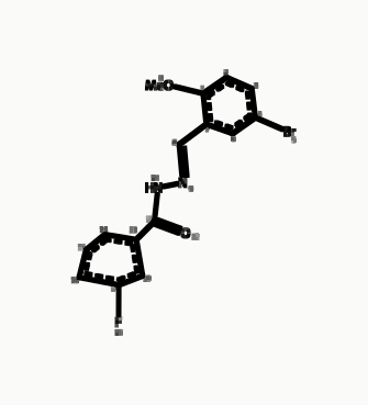 COc1ccc(Br)cc1/C=N/NC(=O)c1cccc(F)c1